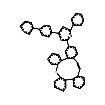 C1=C\c2ccc(-c3nc(-c4ccccc4)cc(-c4ccc(-c5cccnc5)cc4)n3)cc2-c2ccccc2Oc2ccccc2-c2ccccc2/1